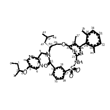 CCC(C)Oc1cnc(CN2C(=O)c3cccc(c3)S(=O)(=O)Nc3nc(c(C)c(-c4c(C)cccc4C)n3)OC[C@H]2CC(C)C)nc1